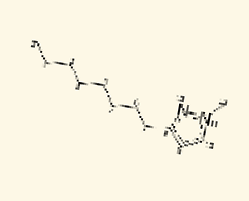 CCCCCCCCc1ccn(C)n1